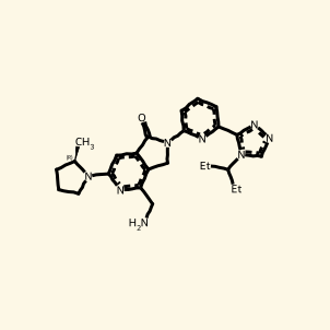 CCC(CC)n1cnnc1-c1cccc(N2Cc3c(cc(N4CCC[C@H]4C)nc3CN)C2=O)n1